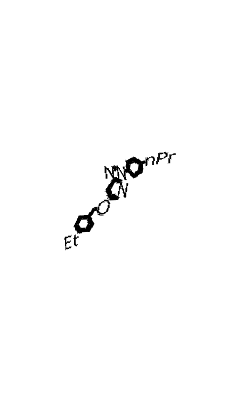 CCCc1ccc(-n2cnc3cc(OCc4ccc(CC)cc4)cnc32)cc1